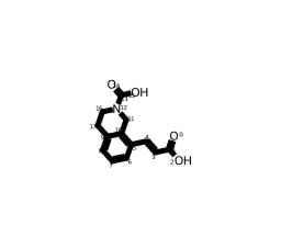 O=C(O)/C=C/c1cccc2c1CN(C(=O)O)CC2